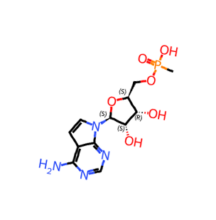 CP(=O)(O)OC[C@@H]1O[C@H](n2ccc3c(N)ncnc32)[C@@H](O)[C@H]1O